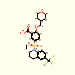 CC[C@H]1CCc2cc(C(F)(F)F)ccc2N1S(=O)(=O)c1ccc(OCC2CCOCC2)c(C(=O)O)c1